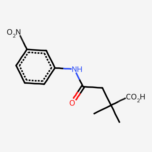 CC(C)(CC(=O)Nc1cccc([N+](=O)[O-])c1)C(=O)O